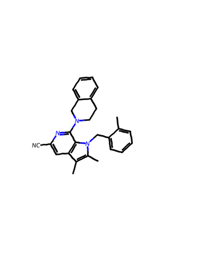 Cc1ccccc1Cn1c(C)c(C)c2cc(C#N)nc(N3CCc4ccccc4C3)c21